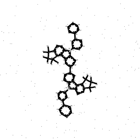 CC1(C)c2ccc3c(c2C(C)(C)C1(C)C)c1cc(-c2ccc4c(c2)c2c5c(ccc2n4-c2cccc(-c4ccccc4)c2)C(C)(C)C(C)(C)C5(C)C)ccc1n3-c1cccc(-c2ccccc2)c1